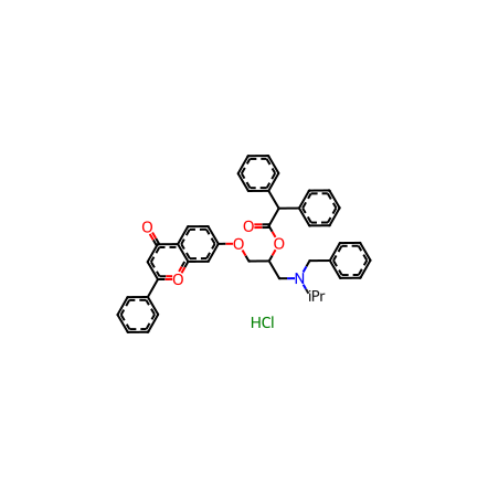 CC(C)N(Cc1ccccc1)CC(COc1ccc2c(=O)cc(-c3ccccc3)oc2c1)OC(=O)C(c1ccccc1)c1ccccc1.Cl